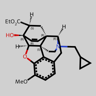 CCOC(=O)[C@H]1C[C@@]23C=C[C@]1(O)[C@@H]1Oc4c(OC)ccc5c4[C@@]12CCN(CC1CC1)[C@@H]3C5